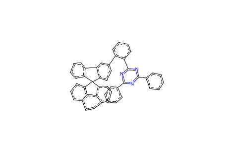 c1ccc(-c2nc(-c3ccccc3)nc(-c3ccccc3-c3ccc4c(c3)-c3ccccc3C43c4cccc5ccc6cccc3c6c45)n2)cc1